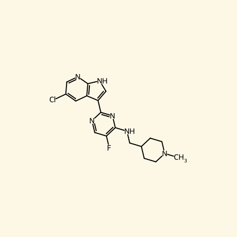 CN1CCC(CNc2nc(-c3c[nH]c4ncc(Cl)cc34)ncc2F)CC1